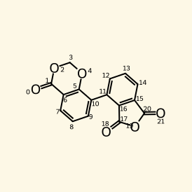 O=C1OCOc2c1cccc2-c1cccc2c1C(=O)OC2=O